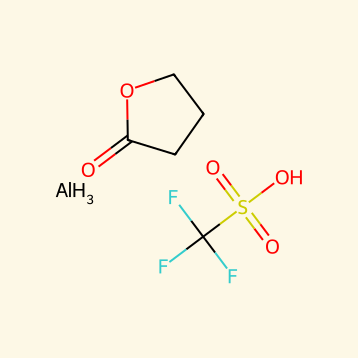 O=C1CCCO1.O=S(=O)(O)C(F)(F)F.[AlH3]